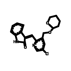 O=C1Nc2ccccc2C1=Cc1ncc(Cl)cc1COC1CCCCO1